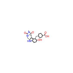 CN1C(=O)C2CN(Cc3[nH]c4ccc(O)c(Cc5ccc(C(=O)O)cc5)c4c32)C1=O